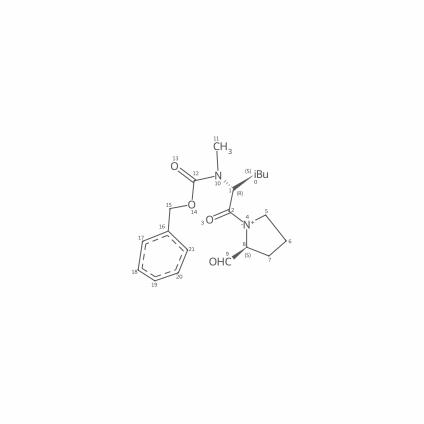 CC[C@H](C)[C@H](C(=O)[N+]1CCC[C@H]1C=O)N(C)C(=O)OCc1ccccc1